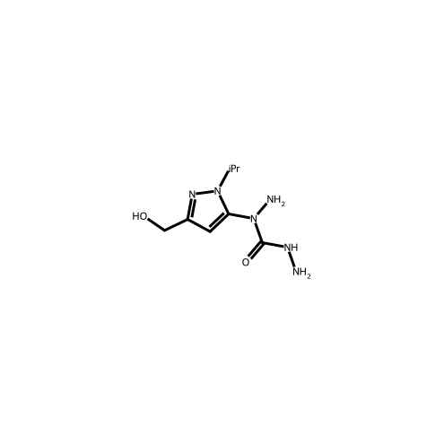 CC(C)n1nc(CO)cc1N(N)C(=O)NN